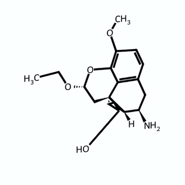 CCO[C@H]1C[C@]23C=CC(O)C[C@H]2[C@H](N)Cc2ccc(OC)c(c23)O1